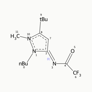 CCCCn1/c(=N/C(=O)C(F)(F)F)cc(C(C)(C)C)n1C